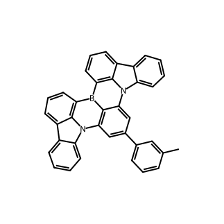 Cc1cccc(-c2cc3c4c(c2)-n2c5ccccc5c5cccc(c52)B4c2cccc4c5ccccc5n-3c24)c1